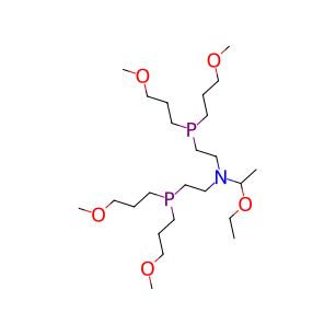 CCOC(C)N(CCP(CCCOC)CCCOC)CCP(CCCOC)CCCOC